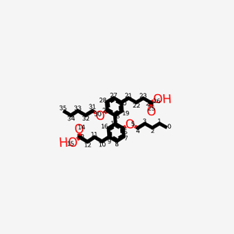 CCCCCOc1ccc(CCCC(=O)O)cc1-c1cc(CCCC(=O)O)ccc1OCCCCC